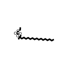 CCCCCCCCCCCCCCCCC(C)(C)OS(=O)(=O)OCC